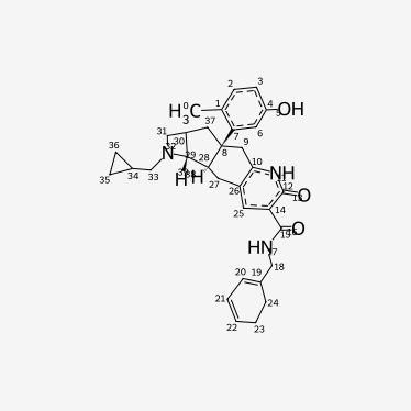 Cc1ccc(O)cc1[C@@]12Cc3[nH]c(=O)c(C(=O)NCC4=CC=CCC4)cc3C[C@H]1[C@H]1C(CN1CC1CC1)C2